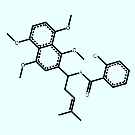 COc1ccc(OC)c2c(OC)c(C(CC=C(C)C)SC(=O)c3ccccc3Cl)cc(OC)c12